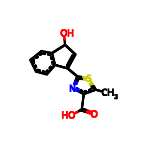 Cc1sc(C2=CC(O)c3ccccc32)nc1C(=O)O